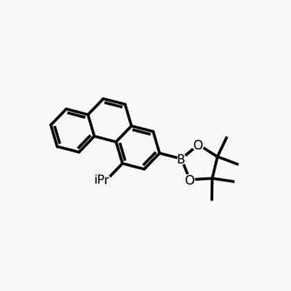 CC(C)c1cc(B2OC(C)(C)C(C)(C)O2)cc2ccc3ccccc3c12